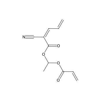 C=CC=C(C#N)C(=O)OC(C)OC(=O)C=C